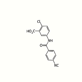 [C-]#[N+]c1ccc(C(=O)Nc2ccc(Cl)c(C(=O)O)c2)cc1